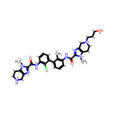 Cc1c(NC(=O)c2nc3c(n2C)CCN(CCCO)C3)cccc1-c1cccc(NC(=O)c2nc3c(n2C)CCNC3)c1Cl